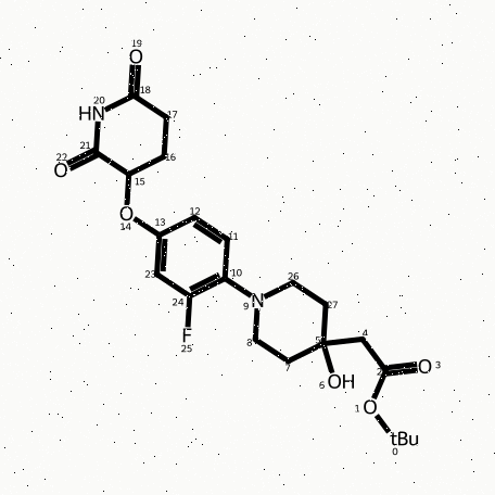 CC(C)(C)OC(=O)CC1(O)CCN(c2ccc(OC3CCC(=O)NC3=O)cc2F)CC1